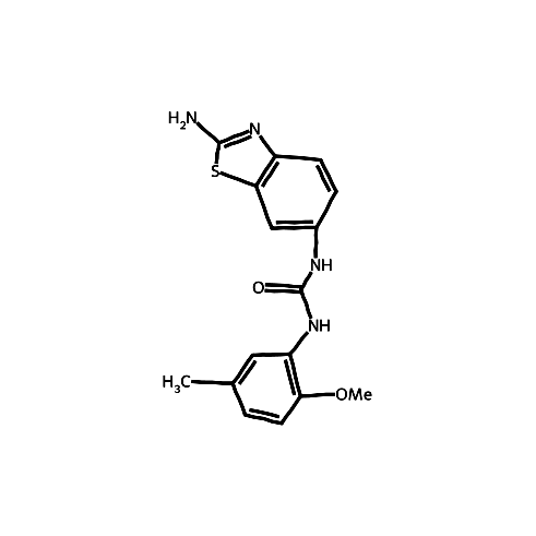 COc1ccc(C)cc1NC(=O)Nc1ccc2nc(N)sc2c1